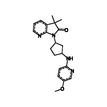 COc1ccc(NC2CCC(N3C(=O)C(C)(C)c4cccnc43)C2)nc1